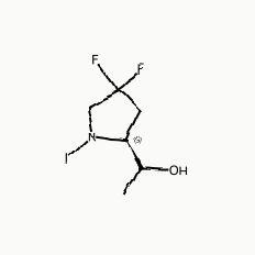 CC(O)[C@@H]1CC(F)(F)CN1I